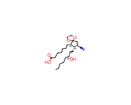 CCCCC[C@@H](O)C=C[C@@H]1C(C#N)CC2(OCCO2)[C@@H]1CCCCCCC(=O)O